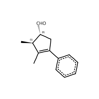 CC1=C(c2ccccc2)C[C@@H](C=O)[C@@H]1C